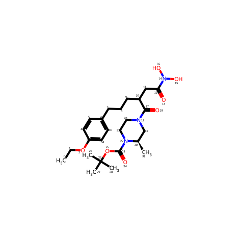 CCOc1ccc(CCCC(CC(=O)N(O)O)C(=O)N2CCN(C(=O)OC(C)(C)C)[C@H](C)C2)cc1